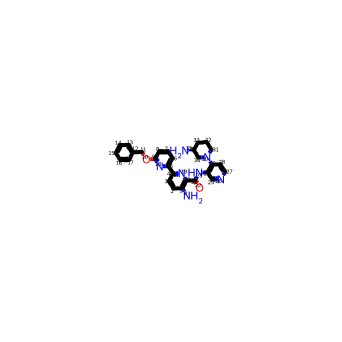 Nc1ccc(-c2cccc(OCc3ccccc3)n2)nc1C(=O)Nc1cnccc1N1CCC[C@H](N)C1